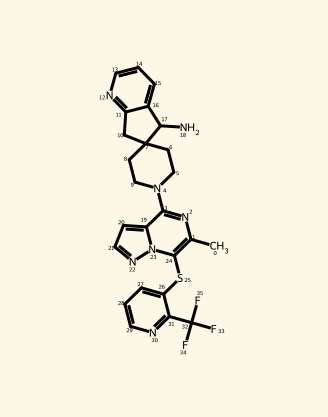 Cc1nc(N2CCC3(CC2)Cc2ncccc2C3N)c2ccnn2c1Sc1cccnc1C(F)(F)F